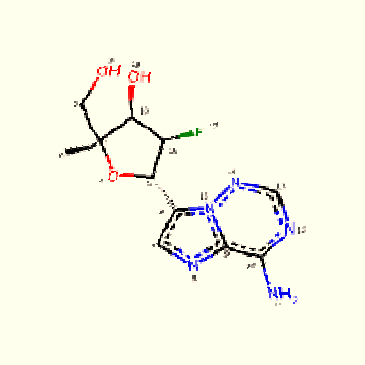 C[C@]1(CO)O[C@@H](c2cnc3c(N)ncnn23)[C@H](F)[C@@H]1O